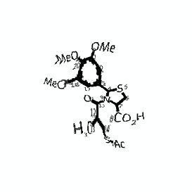 COc1cc(C2SCC(C(=O)O)N2C(=O)C(C)CSC(C)=O)cc(OC)c1OC